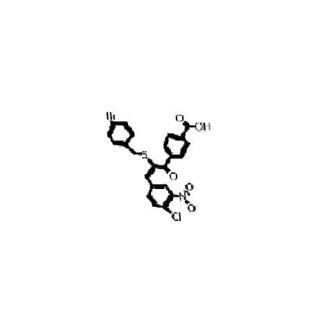 O=C(O)c1ccc(C(=O)/C(=C\c2ccc(Cl)c([N+](=O)[O-])c2)SCc2ccc(Br)cc2)cc1